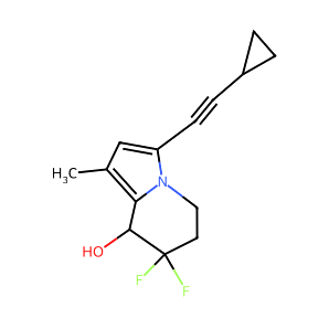 Cc1cc(C#CC2CC2)n2c1C(O)C(F)(F)CC2